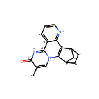 Cc1cn2c3c(c4ncccc4c2nc1=O)C1CCC3C1